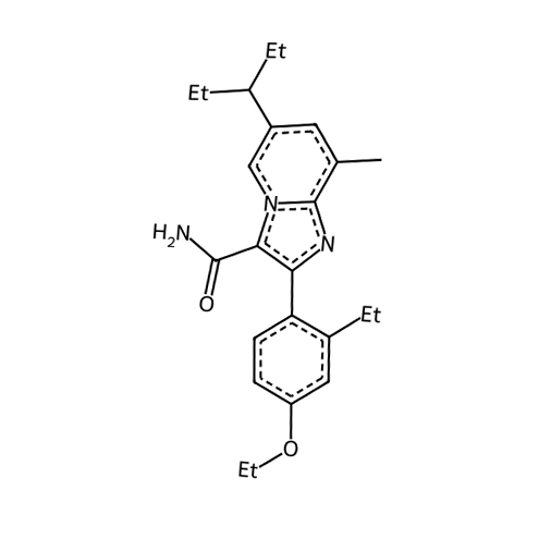 CCOc1ccc(-c2nc3c(C)cc(C(CC)CC)cn3c2C(N)=O)c(CC)c1